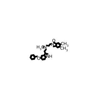 Cc1cc2c(cc1C)C(=O)N(CCCN(C)CCc1c[nH]c3ccc(OCc4ccccc4)cc13)C2